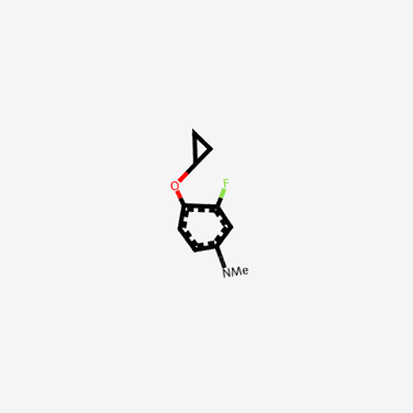 CNc1ccc(OC2CC2)c(F)c1